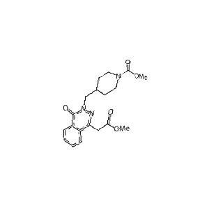 COC(=O)Cc1nn(CC2CCN(C(=O)OC)CC2)c(=O)c2ccccc12